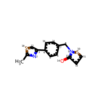 Cc1nc(-c2ccc(Cn3sccc3=O)cc2)cs1